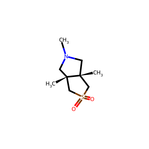 CN1C[C@@]2(C)CS(=O)(=O)C[C@@]2(C)C1